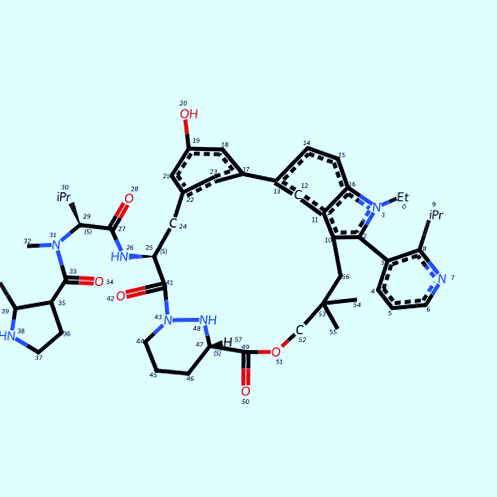 CCn1c(-c2cccnc2C(C)C)c2c3cc(ccc31)-c1cc(O)cc(c1)C[C@H](NC(=O)[C@H](C(C)C)N(C)C(=O)C1CCNC1C(C)C)C(=O)N1CCC[C@H](N1)C(=O)OCC(C)(C)C2